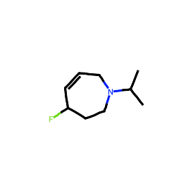 CC(C)N1CC=CC(F)CC1